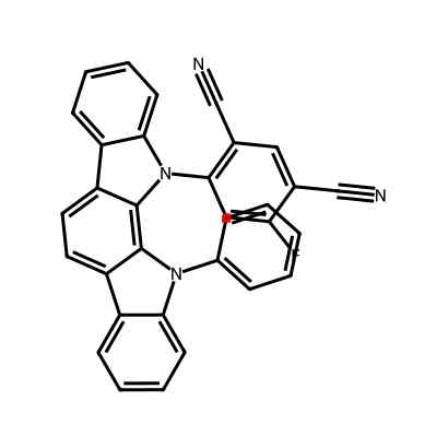 N#Cc1cc(C#N)c(-n2c3ccccc3c3ccc4c5ccccc5n(-c5ccccc5)c4c32)cc1F